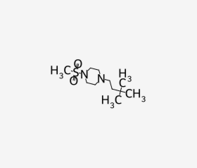 CC(C)(C)CCN1CCN(S(C)(=O)=O)CC1